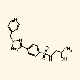 C[C@@H](O)CNS(=O)(=O)c1ccc(-c2nnn(Cc3ccncc3)n2)cc1